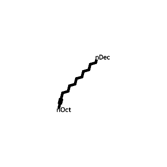 [CH2]CCCCCCCC#CCCCCCCCCCCCCCCCCCCC[CH2]